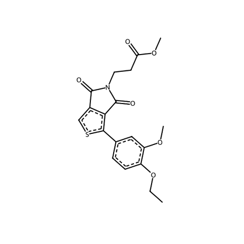 CCOc1ccc(-c2scc3c2C(=O)N(CCC(=O)OC)C3=O)cc1OC